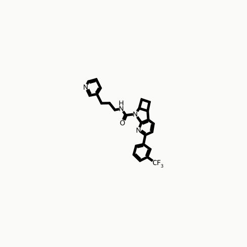 O=C(NCCCc1cccnc1)N1c2nc(-c3cccc(C(F)(F)F)c3)ccc2C2CCC21